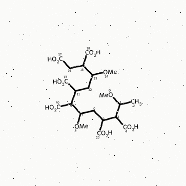 COC(C)C(C(=O)O)C(CC(OC)C(C(=O)O)C(CC(OC)C(CC(=O)O)C(=O)O)C(=O)O)C(=O)O